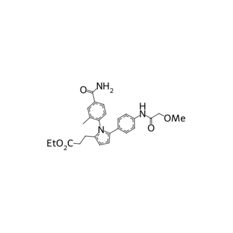 CCOC(=O)CCc1ccc(-c2ccc(NC(=O)COC)cc2)n1-c1ccc(C(N)=O)cc1C